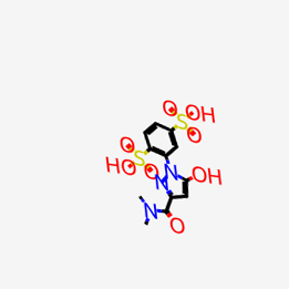 CN(C)C(=O)c1cc(O)n(-c2cc(S(=O)(=O)O)ccc2S(=O)(=O)O)n1